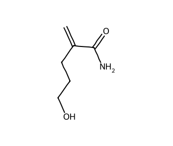 C=C(CCCO)C(N)=O